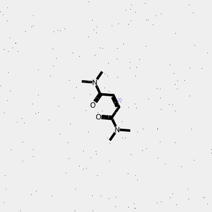 CN(C)C(=O)/C=C\C(=O)N(C)C